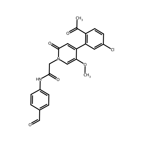 COc1cn(CC(=O)Nc2ccc(C=O)cc2)c(=O)cc1-c1cc(Cl)ccc1C(C)=O